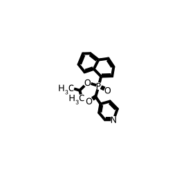 CC(C)OP(=O)(C(=O)c1ccncc1)c1cccc2ccccc12